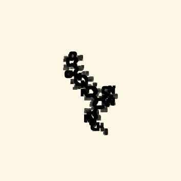 Cn1cc(-c2cc(-c3ccc(N4CCN(C(=O)CC5CCOC5)CC4)nc3)c3c(C#N)cnn3c2)cn1